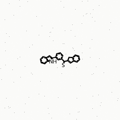 S=C(C1=Cc2ccccc2C1)c1cccc(-c2cc3ccccc3[nH]2)c1